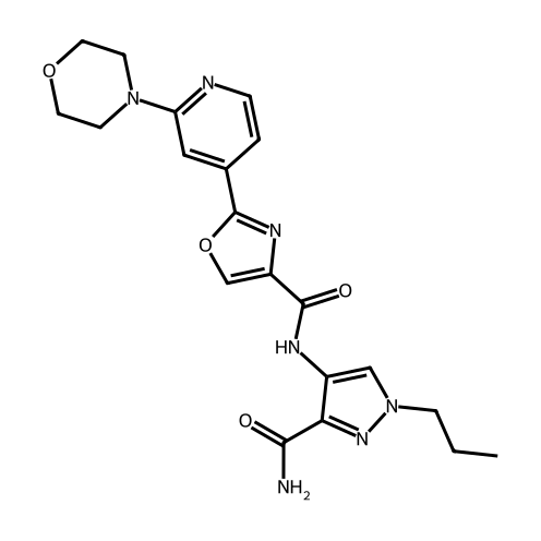 CCCn1cc(NC(=O)c2coc(-c3ccnc(N4CCOCC4)c3)n2)c(C(N)=O)n1